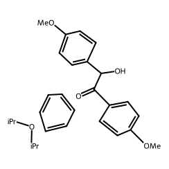 CC(C)OC(C)C.COc1ccc(C(=O)C(O)c2ccc(OC)cc2)cc1.c1ccccc1